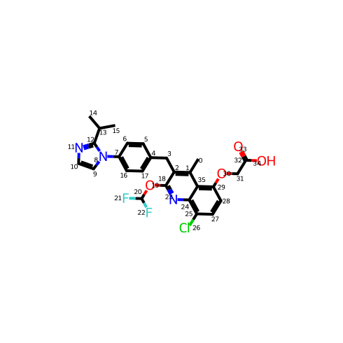 Cc1c(Cc2ccc(-n3ccnc3C(C)C)cc2)c(OC(F)F)nc2c(Cl)ccc(OCC(=O)O)c12